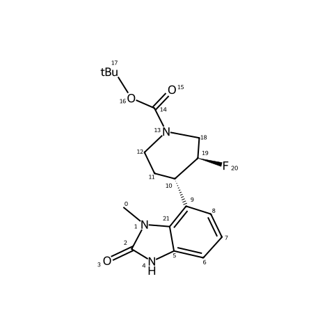 Cn1c(=O)[nH]c2cccc([C@@H]3CCN(C(=O)OC(C)(C)C)C[C@H]3F)c21